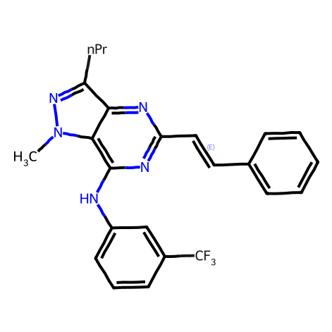 CCCc1nn(C)c2c(Nc3cccc(C(F)(F)F)c3)nc(/C=C/c3ccccc3)nc12